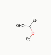 C[CH]C(C=O)OCC